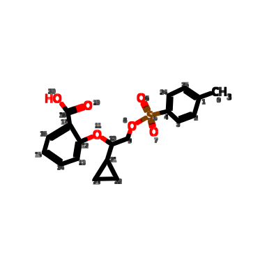 Cc1ccc(S(=O)(=O)OCC(Oc2ccccc2C(=O)O)C2CC2)cc1